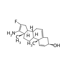 C[C@]12C=C[C@H](O)CC1=CC[C@@H]1[C@@H]2CC[C@]2(C)C(N)=C(F)C[C@@H]12